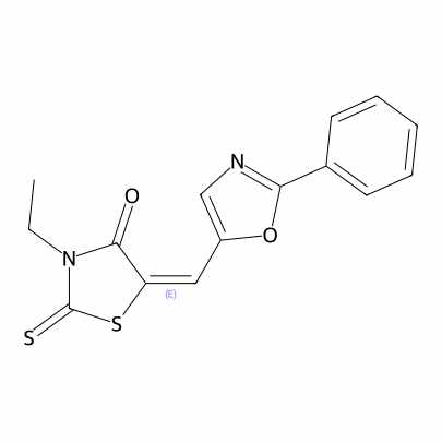 CCN1C(=O)/C(=C\c2cnc(-c3ccccc3)o2)SC1=S